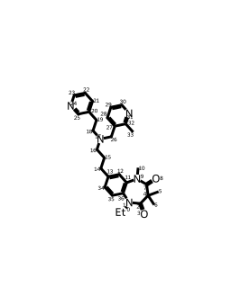 CCN1C(=O)C(C)(C)C(=O)N(C)c2cc(CCCN(CCc3cccnc3)Cc3cccnc3C)ccc21